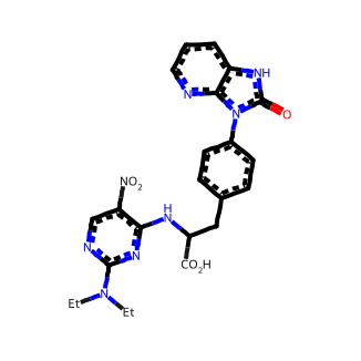 CCN(CC)c1ncc([N+](=O)[O-])c(NC(Cc2ccc(-n3c(=O)[nH]c4cccnc43)cc2)C(=O)O)n1